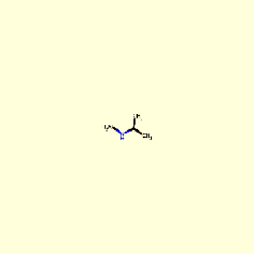 CC(C)[NH][AlH2]